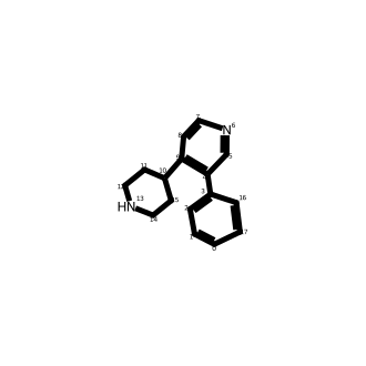 c1ccc(-c2cnccc2C2CCNCC2)cc1